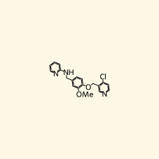 COc1cc(CNc2ccccn2)ccc1OCc1cnccc1Cl